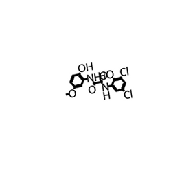 COc1ccc(O)c(NC(=O)C(=O)Nc2cc(Cl)cc(Cl)c2O)c1